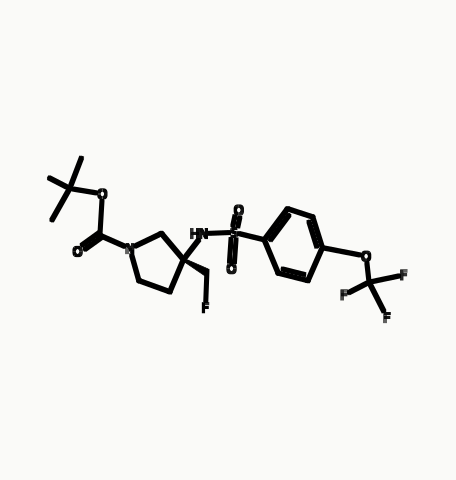 CC(C)(C)OC(=O)N1CC[C@@](CF)(NS(=O)(=O)c2ccc(OC(F)(F)F)cc2)C1